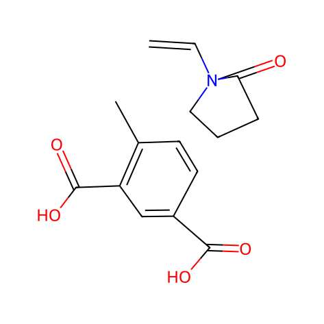 C=CN1CCCC1=O.Cc1ccc(C(=O)O)cc1C(=O)O